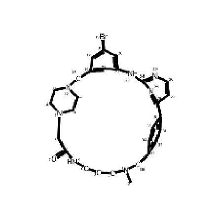 CN1CCCNC(=O)CN2CCN(CC2)Cc2cc(Br)cc(c2)Nc2nccc(n2)-c2ccc(cc2)C1